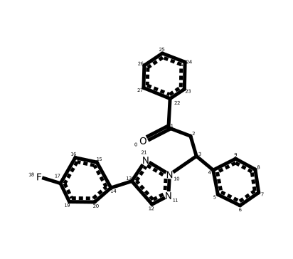 O=C(CC(c1ccccc1)n1ncc(-c2ccc(F)cc2)n1)c1ccccc1